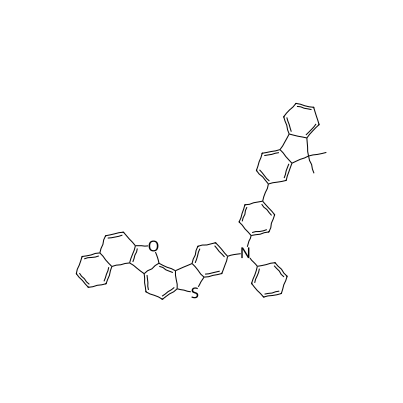 CC1(C)c2ccccc2-c2ccc(-c3ccc(N(c4ccccc4)c4ccc5c(c4)sc4ccc6c(oc7ccc8ccccc8c76)c45)cc3)cc21